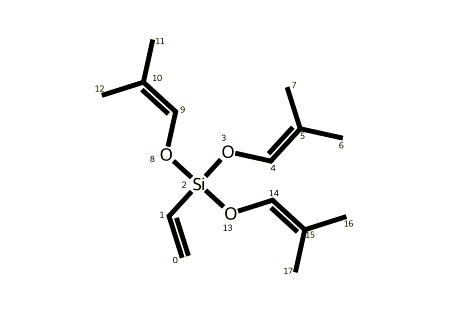 C=C[Si](OC=C(C)C)(OC=C(C)C)OC=C(C)C